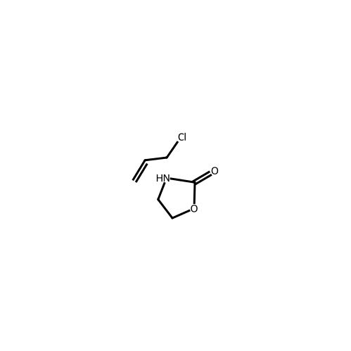 C=CCCl.O=C1NCCO1